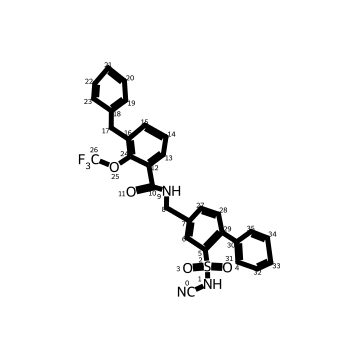 N#CNS(=O)(=O)c1cc(CNC(=O)c2cccc(Cc3ccccc3)c2OC(F)(F)F)ccc1-c1ccccc1